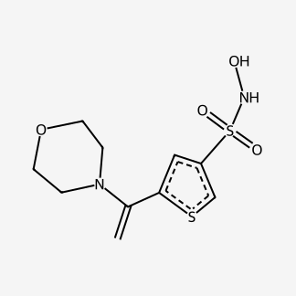 C=C(c1cc(S(=O)(=O)NO)cs1)N1CCOCC1